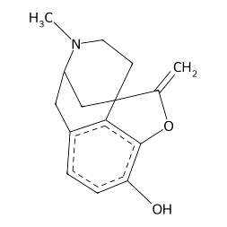 C=C1Oc2c(O)ccc3c2C12CCN(C)C(C3)C2